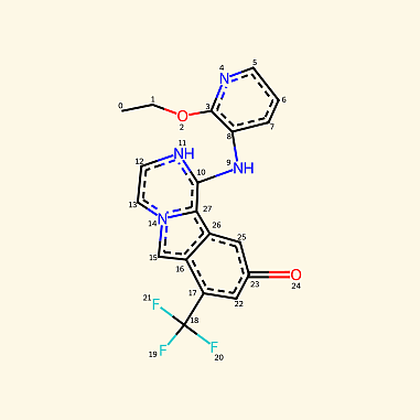 CCOc1ncccc1Nc1[nH]ccn2cc3c(C(F)(F)F)cc(=O)cc3c12